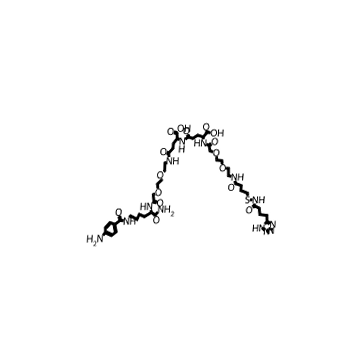 NC(=O)C(CCCCNC(=O)c1ccc(N)cc1)NC(=O)COCCOCCNC(=O)CCC(NC(=O)CCC(NC(=O)COCCOCCNC(=O)CCCSNC(=O)CCCc1nnn[nH]1)C(=O)O)C(=O)O